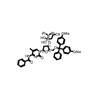 COc1ccc(C(OC[C@H]2O[C@@H](n3cc(C)c(NC(=O)c4ccccc4)nc3=O)C[C@@H]2OP(O)(O)(CCC#N)N(C(C)C)C(C)C)(c2ccccc2)c2ccc(OC)cc2)cc1